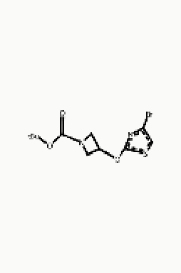 CC(C)(C)OC(=O)N1CC(Oc2nc(Br)cs2)C1